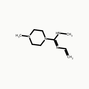 C=C/N=C(\NC)N1CCN(C)CC1